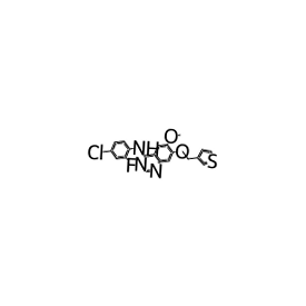 COc1cc2c(Nc3ccc(Cl)cc3F)ncnc2cc1OCc1ccsc1